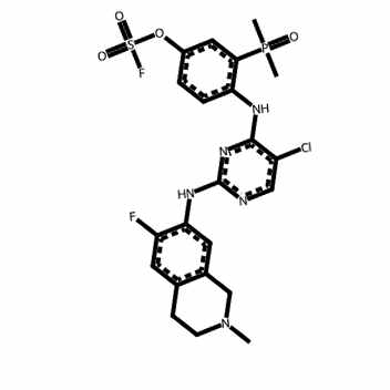 CN1CCc2cc(F)c(Nc3ncc(Cl)c(Nc4ccc(OS(=O)(=O)F)cc4P(C)(C)=O)n3)cc2C1